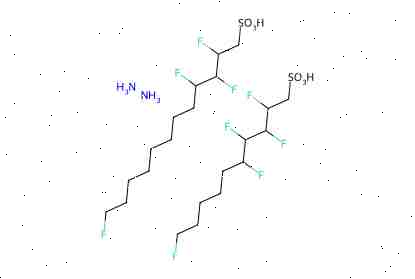 N.N.O=S(=O)(O)CC(F)C(F)C(F)C(F)CCCCCF.O=S(=O)(O)CC(F)C(F)C(F)CCCCCCCCF